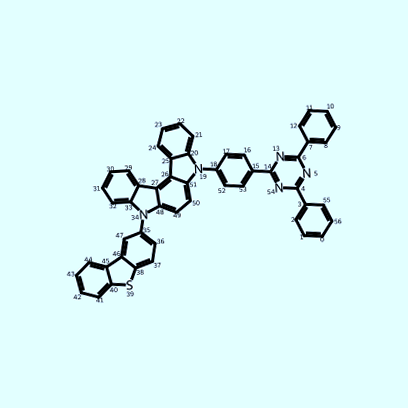 c1ccc(-c2nc(-c3ccccc3)nc(-c3ccc(-n4c5ccccc5c5c6c7ccccc7n(-c7ccc8sc9ccccc9c8c7)c6ccc54)cc3)n2)cc1